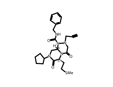 C#CCN1CC(=O)N2[C@@H](CCSC)C(=O)N(C3CCCC3)C[C@@H]2N1C(=O)NCc1ccccc1